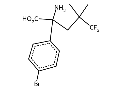 CC(C)(CC(N)(C(=O)O)c1ccc(Br)cc1)C(F)(F)F